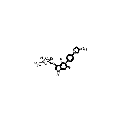 CCOP(C)(=O)CSc1c[nH]c2cc(F)c(-c3ccc(N4CC[C@H](O)C4)cc3)c(F)c12